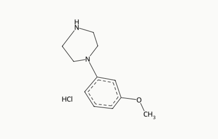 COc1cccc(N2CCNCC2)c1.Cl